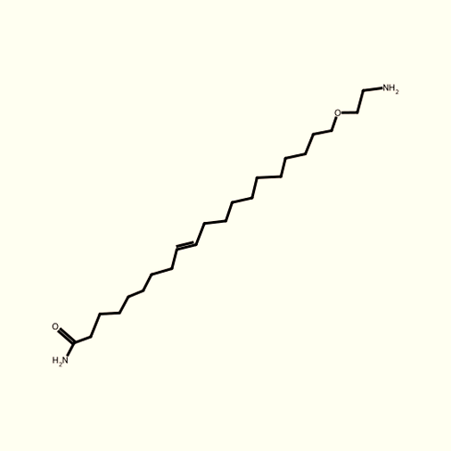 NCCOCCCCCCCCCCC=CCCCCCCCC(N)=O